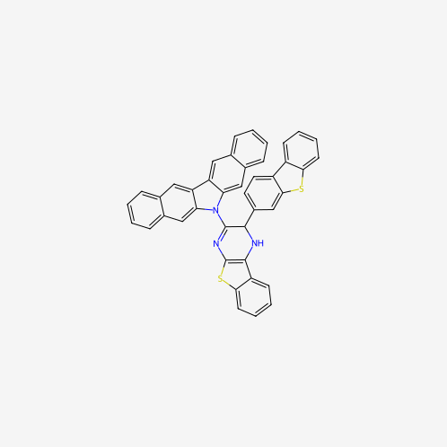 c1ccc2cc3c(cc2c1)c1cc2ccccc2cc1n3C1=Nc2sc3ccccc3c2NC1c1ccc2c(c1)sc1ccccc12